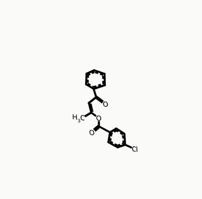 CC(=CC(=O)c1ccccc1)OC(=O)c1ccc(Cl)cc1